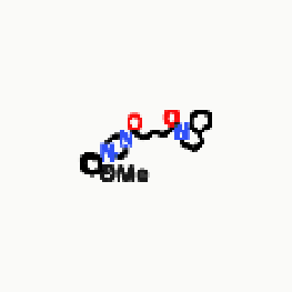 COc1ccccc1N1CCN(C(=O)CCCC(=O)N2CCCC3CCCCC32)CC1